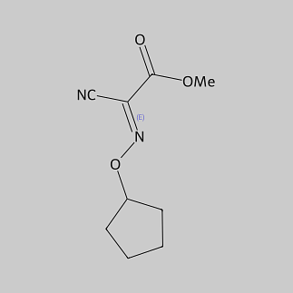 COC(=O)/C(C#N)=N/OC1CCCC1